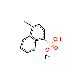 CCOP(=O)(O)c1ccc(C)c2ccccc12